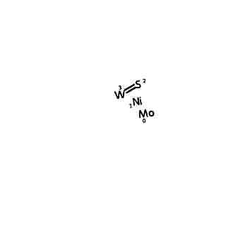 [Mo].[Ni].[S]=[W]